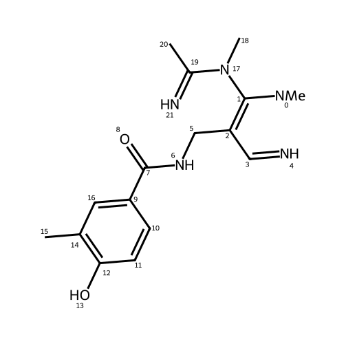 CN/C(=C(\C=N)CNC(=O)c1ccc(O)c(C)c1)N(C)C(C)=N